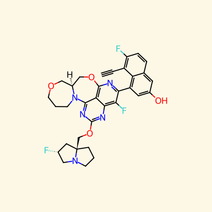 C#Cc1c(F)ccc2cc(O)cc(-c3nc4c5c(nc(OC[C@@]67CCCN6C[C@H](F)C7)nc5c3F)N3CCCOC[C@H]3CO4)c12